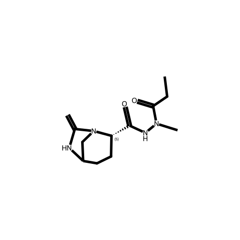 C=C1NC2CC[C@@H](C(=O)NN(C)C(=O)CC)N1C2